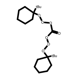 CC(C)(C)C1(OOOC(=O)OOOC2(C(C)(C)C)CCCCC2)CCCCC1